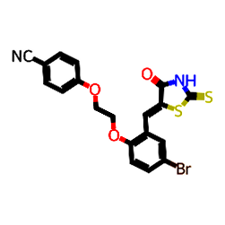 N#Cc1ccc(OCCOc2ccc(Br)cc2/C=C2\SC(=S)NC2=O)cc1